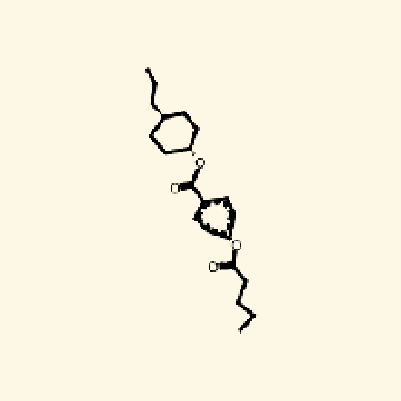 CCCCC(=O)Oc1ccc(C(=O)O[C@H]2CC[C@H](CCC)CC2)cc1